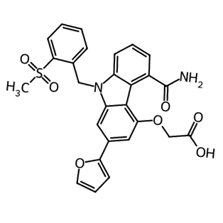 CS(=O)(=O)c1ccccc1Cn1c2cc(-c3ccco3)cc(OCC(=O)O)c2c2c(C(N)=O)cccc21